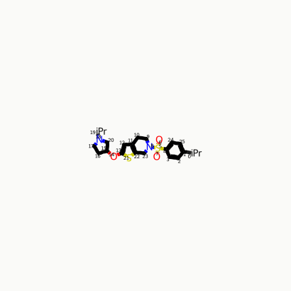 CC(C)c1ccc(S(=O)(=O)N2CCc3cc(OC4CCN(C(C)C)C4)sc3C2)cc1